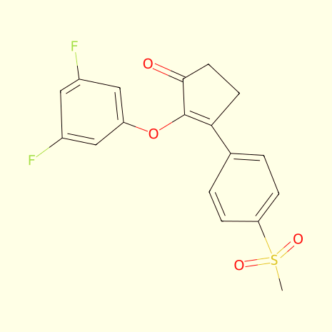 CS(=O)(=O)c1ccc(C2=C(Oc3cc(F)cc(F)c3)C(=O)CC2)cc1